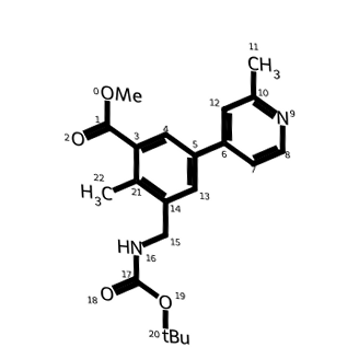 COC(=O)c1cc(-c2ccnc(C)c2)cc(CNC(=O)OC(C)(C)C)c1C